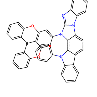 c1ccc(-n2c3ccccc3c3ccc4c(c32)n(-c2cc3c5c(c2)Oc2ccccc2B5c2ccccc2O3)c2nc3ccccc3n42)cc1